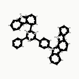 c1ccc(-c2nc(-c3ccc(-n4c5ccccc5c5ccc6c7ccccc7oc6c54)cc3)nc(-c3cccc4oc5ccccc5c34)n2)cc1